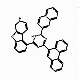 C1=Cc2c(oc3cccc(C4=NC(c5cc6ccccc6c6ccccc56)=NC(c5ccc6ccccc6c5)N4)c23)CN1